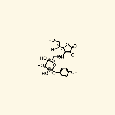 O=C1O[C@H]([C@@H](O)CO)C(O)=C1O.OC[C@H]1O[C@@H](Oc2ccc(O)cc2)[C@H](O)[C@@H](O)[C@@H]1O